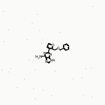 Nc1nc(-c2ccoc2COCc2ccccc2)nc2[nH]cnc12